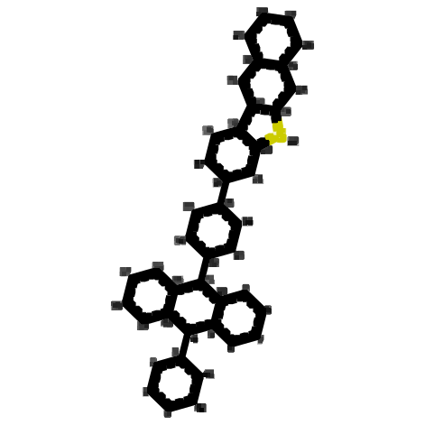 c1ccc(-c2c3ccccc3c(-c3ccc(-c4ccc5c(c4)sc4cc6ccccc6cc45)cc3)c3ccccc23)cc1